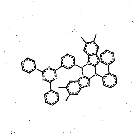 Cc1cc2nc3n(c2cc1C)B(c1cccc(-c2nc(-c4ccccc4)nc(-c4ccccc4)n2)c1)n1c(nc2cc(C)c(C)cc21)N3c1ccccc1-c1ccccc1